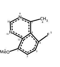 COc1ccc(F)c2c(C)ncnc12